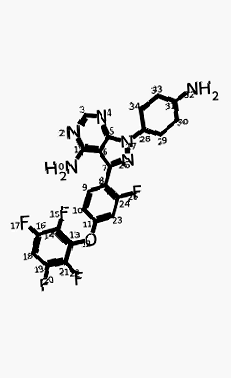 Nc1ncnc2c1c(-c1ccc(Oc3c(F)c(F)cc(F)c3F)cc1F)nn2C1CCC(N)CC1